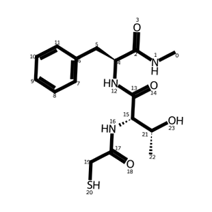 CNC(=O)[C@H](Cc1ccccc1)NC(=O)[C@@H](NC(=O)CS)[C@@H](C)O